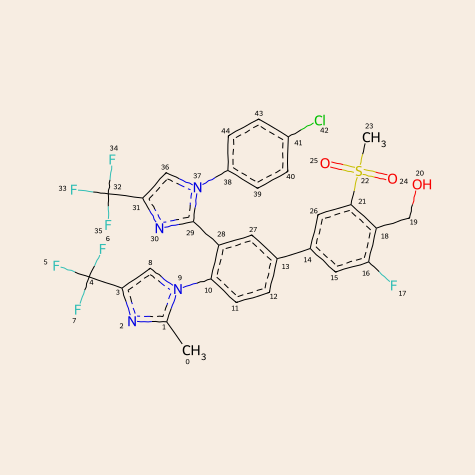 Cc1nc(C(F)(F)F)cn1-c1ccc(-c2cc(F)c(CO)c(S(C)(=O)=O)c2)cc1-c1nc(C(F)(F)F)cn1-c1ccc(Cl)cc1